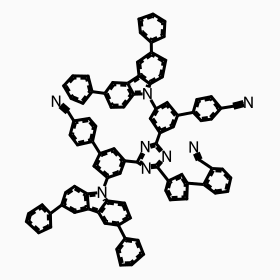 N#Cc1ccc(-c2cc(-c3nc(-c4cccc(-c5ccccc5C#N)c4)nc(-c4cc(-c5ccc(C#N)cc5)cc(-n5c6ccc(-c7ccccc7)cc6c6cc(-c7ccccc7)ccc65)c4)n3)cc(-n3c4ccc(-c5ccccc5)cc4c4cc(-c5ccccc5)ccc43)c2)cc1